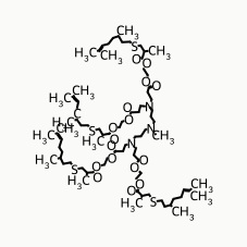 CC(C)=CCCC(C)CCSCC(C)C(=O)OCCOC(=O)CCN(CCCN(C)CCCN(CCC(=O)OCCOC(=O)C(C)CSCCC(C)CCC=C(C)C)CCC(=O)OCCOC(=O)C(C)CSCCC(C)CCC=C(C)C)CCC(=O)OCCOC(=O)C(C)CSCCC(C)CCC=C(C)C